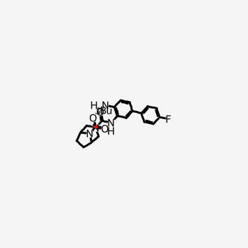 CC(C)(C)OC(=O)N1C2CCC1CN(C(=O)Nc1cc(-c3ccc(F)cc3)ccc1N)C2